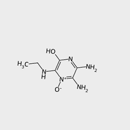 CCNc1c(O)nc(N)c(N)[n+]1[O-]